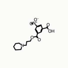 O=C(O)c1cc(C(=O)OCCCN2CCCCC2)cc([N+](=O)[O-])c1